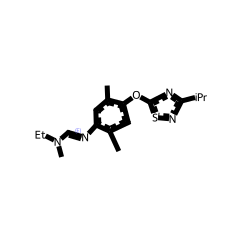 CCN(C)/C=N/c1cc(C)c(Oc2nc(C(C)C)ns2)cc1C